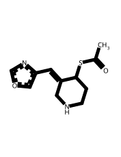 CC(=O)SC1CCNC/C1=C\c1cocn1